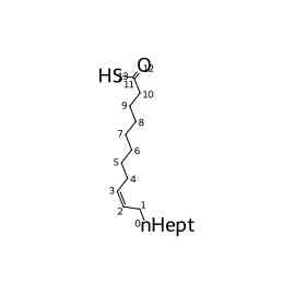 CCCCCCCC/C=C\CCCCCCCC(=O)S